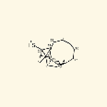 CC12CCC34CCCCCC1(S)C2(CCCCC3)CC4